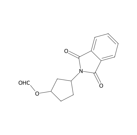 O=COC1CCC(N2C(=O)c3ccccc3C2=O)C1